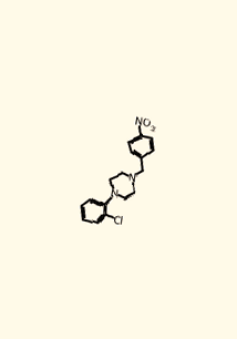 O=[N+]([O-])c1ccc(CN2CCN(c3ccccc3Cl)CC2)cc1